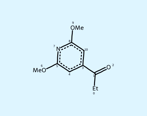 CCC(=O)c1cc(OC)nc(OC)c1